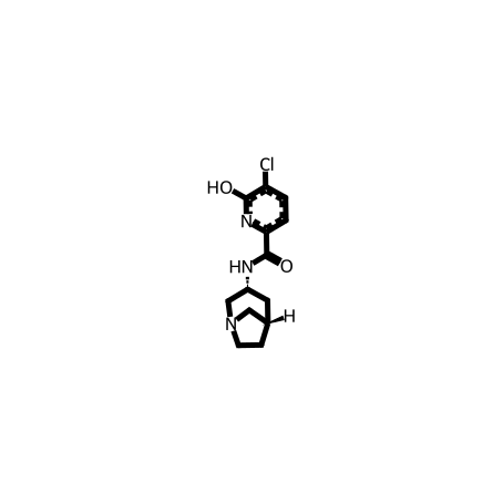 O=C(N[C@@H]1C[C@@H]2CCN(C2)C1)c1ccc(Cl)c(O)n1